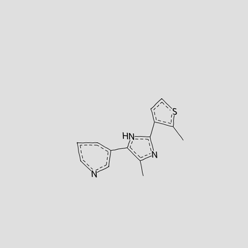 Cc1nc(-c2ccsc2C)[nH]c1-c1cccnc1